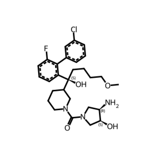 COCCCC[C@@](O)(c1cccc(F)c1-c1cccc(Cl)c1)C1CCCN(C(=O)N2C[C@@H](N)[C@@H](O)C2)C1